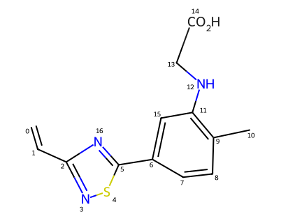 C=Cc1nsc(-c2ccc(C)c(NCC(=O)O)c2)n1